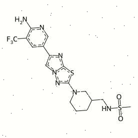 CS(=O)(=O)NCC1CCCN(c2nn3cc(-c4cnc(N)c(C(F)(F)F)c4)nc3s2)C1